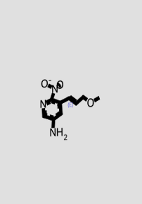 COC/C=C/c1cc(N)cnc1[N+](=O)[O-]